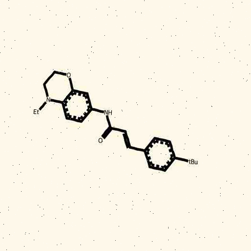 CCN1CCOc2cc(NC(=O)/C=C/c3ccc(C(C)(C)C)cc3)ccc21